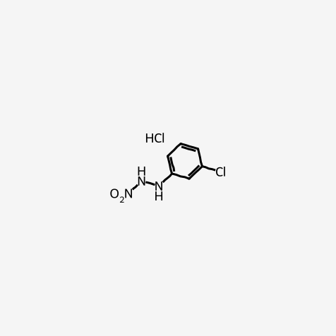 Cl.O=[N+]([O-])NNc1cccc(Cl)c1